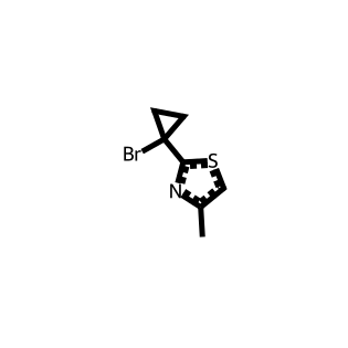 Cc1csc(C2(Br)CC2)n1